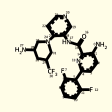 Nc1ccc(-c2c(F)cccc2F)nc1C(=O)Nc1cnccc1N1CC(N)CC(C(F)(F)F)C1